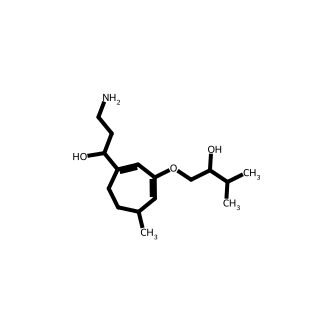 CC1C=C(OCC(O)C(C)C)C=C(C(O)CCN)CC1